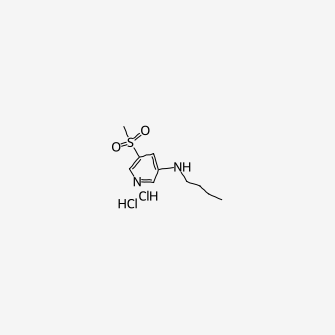 CCCCNc1cncc(S(C)(=O)=O)c1.Cl.Cl